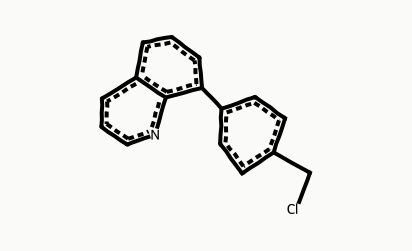 ClCc1ccc(-c2cccc3cccnc23)cc1